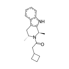 C[C@@H]1Cc2c([nH]c3ccccc23)[C@@H](C)N1C(=O)CC1CCC1